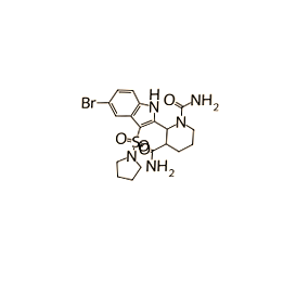 NC(=O)C1CCCN(C(N)=O)C1c1[nH]c2ccc(Br)cc2c1S(=O)(=O)N1CCCC1